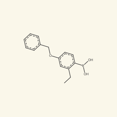 CCc1cc(OCc2ccccc2)ccc1B(O)O